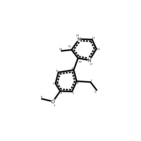 CCc1cc(OC)ccc1-c1nccnc1C